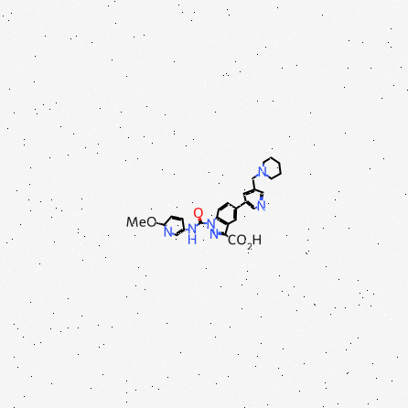 COc1ccc(NC(=O)n2nc(C(=O)O)c3cc(-c4cncc(CN5CCCCC5)c4)ccc32)cn1